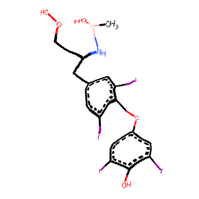 CB(O)NC(COO)Cc1cc(I)c(Oc2cc(I)c(O)c(I)c2)c(I)c1